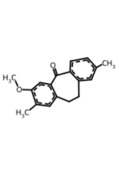 COc1cc2c(cc1C)CCc1cc(C)ccc1C2=O